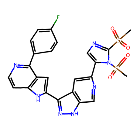 CS(=O)(=O)c1ncc(-c2cc3c(-c4cc5c(-c6ccc(F)cc6)nccc5[nH]4)n[nH]c3cn2)n1S(C)(=O)=O